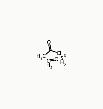 C=O.CC(C)=O.S